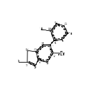 CC1=Cc2cc(Br)c(-c3ccccc3C)cc2C1